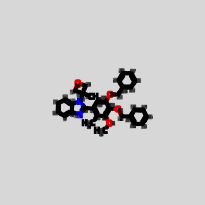 COc1c(C)c(-c2nc3ccccc3n2C2(C)COC2)cc(OCc2ccccc2)c1OCc1ccccc1